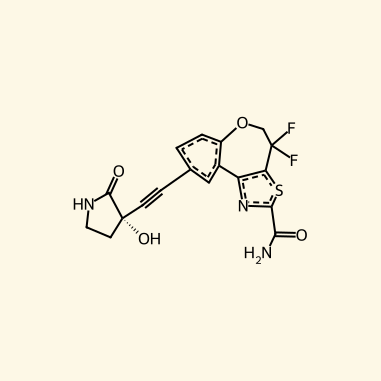 NC(=O)c1nc2c(s1)C(F)(F)COc1ccc(C#C[C@@]3(O)CCNC3=O)cc1-2